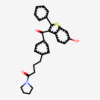 O=C(c1ccc(CCCC(=O)N2CCCC2)cc1)c1c(-c2ccccc2)sc2cc(O)ccc12